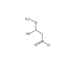 COC(O)C[N+](=O)[O-]